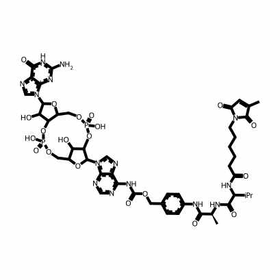 CC1=CC(=O)N(CCCCCC(=O)NC(C(=O)N[C@@H](C)C(=O)Nc2ccc(COC(=O)Nc3ncnc4c3ncn4C3OC4COP(=O)(O)OC5C(COP(=O)(O)OC3C4O)OC(n3cnc4c(=O)[nH]c(N)nc43)C5O)cc2)C(C)C)C1=O